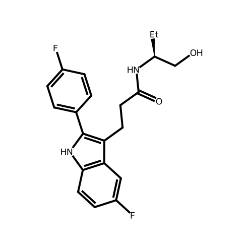 CC[C@@H](CO)NC(=O)CCc1c(-c2ccc(F)cc2)[nH]c2ccc(F)cc12